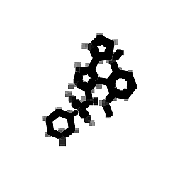 COc1cccc(OC)c1-n1c(NS(=O)(=O)[C@H]2CCCNC2)nnc1-c1ccco1